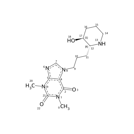 Cn1c(=O)c2c(ncn2CCC[C@H]2NCCC[C@@H]2O)n(C)c1=O